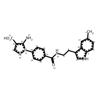 Cc1ccc2[nH]cc(CCNC(=O)c3ccc(-n4ncc(C(=O)O)c4N)cc3)c2c1